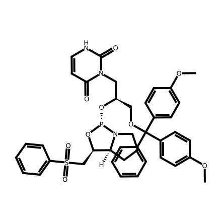 COc1ccc(C(OC[C@H](Cn2c(=O)cc[nH]c2=O)O[P@@]2O[C@H](CS(=O)(=O)c3ccccc3)[C@@H]3CCCN32)(c2ccccc2)c2ccc(OC)cc2)cc1